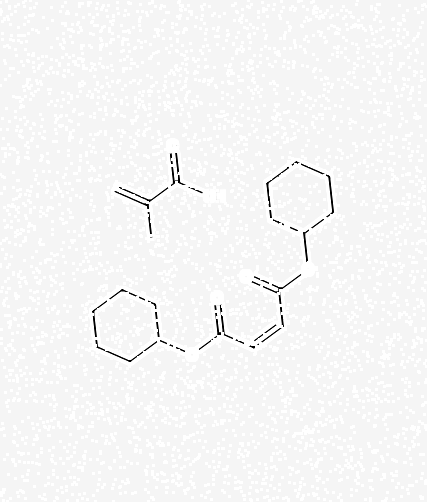 C=C(C)C(=O)O.O=C(/C=C\C(=O)OC1CCCCC1)OC1CCCCC1